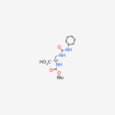 CC(C)(C)OC(=O)N[C@@H](CNC(=O)Nc1ccccc1)C(=O)O